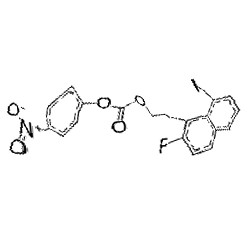 O=C(OCCc1c(F)ccc2cccc(I)c12)Oc1ccc([N+](=O)[O-])cc1